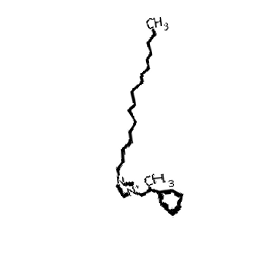 CCCCCCCCCCCCCCCCCn1cc[n+](CC(C)c2ccccc2)c1